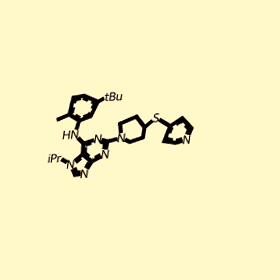 Cc1ccc(C(C)(C)C)cc1Nc1nc(N2CCC(Sc3ccncc3)CC2)nc2ncn(C(C)C)c12